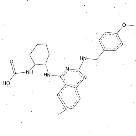 COc1ccc(CNc2nc(NC3CCCCC3NC(=O)O)c3cc(C)ccc3n2)cc1